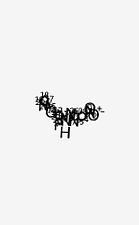 O=[N+]([O-])c1ccc2nc(Nc3ccc(OCc4ccccn4)cc3F)ncc2c1